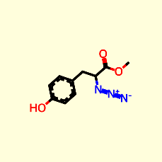 COC(=O)C(Cc1ccc(O)cc1)N=[N+]=[N-]